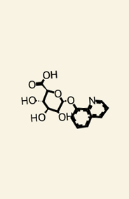 O=C(O)[C@H]1O[C@H](Oc2cccc3cccnc23)[C@H](O)[C@@H](O)[C@@H]1O